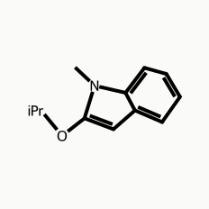 CC(C)Oc1cc2ccccc2n1C